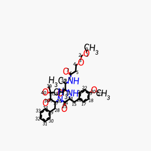 COCOCCC(=O)NC(C)C(=O)NC(Cc1ccc(OC)cc1)C(=O)NC(Cc1ccccc1)C(=O)C1(C)CO1